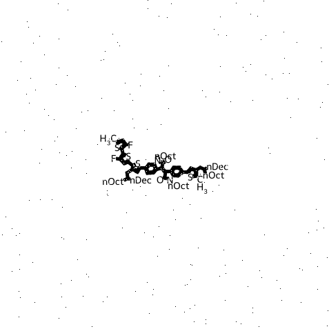 CCCCCCCCCCC(CCCCCCCC)Cc1cc(-c2ccc3c(c2)N(CCCCCCCC)C(=O)/C3=C2/C(=O)N(CCCCCCCC)c3cc(-c4cc(CC(CCCCCCCC)CCCCCCCCCC)c(-c5cc(F)c(-c6sc(C)cc6F)s5)s4)ccc32)sc1C